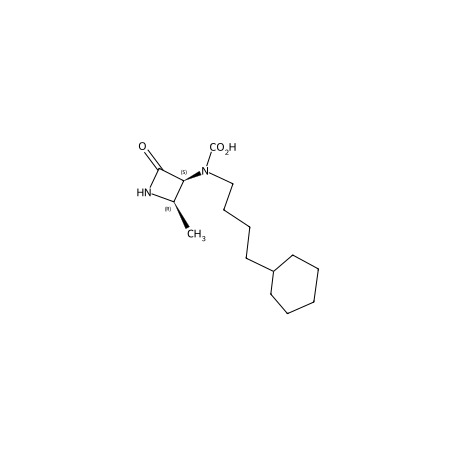 C[C@H]1NC(=O)[C@H]1N(CCCCC1CCCCC1)C(=O)O